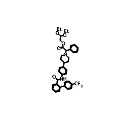 CCOC(COC(=O)C(c1ccccc1)N1CCC(c2ccc(NC(=O)c3ccccc3-c3ccc(C(F)(F)F)cc3)cc2)CC1)OCC